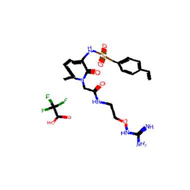 C=Cc1ccc(S(=O)(=O)Nc2ccc(C)n(CC(=O)NCCONC(=N)N)c2=O)cc1.O=C(O)C(F)(F)F